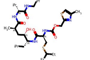 CCC(CC)SC[C@H](NC(=O)OCc1nc(C)cs1)C(=O)N[C@H](CC(C)C)[C@@H](O)C[C@@H](C)C(=O)N[C@@H](C(=O)NCC(C)C)C(C)C